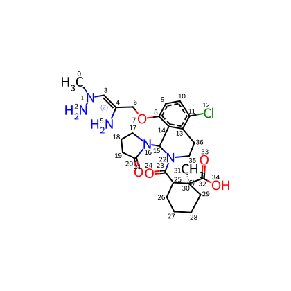 CN(N)/C=C(\N)COc1ccc(Cl)c2c1C(N1CCCC1=O)N(C(=O)C1CCCC[C@]1(C)C(=O)O)CC2